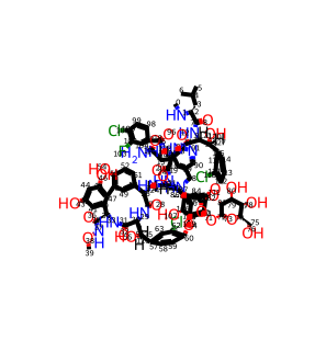 CN[C@H](CC(C)C)C(=O)N[C@H]1C(=O)N[C@@H](CC(N)=O)C(=O)N[C@H]2C(=O)N[C@H]3C(=O)N[C@H](C(=O)N[C@@H](C(=O)NOC)c4cc(O)cc(O)c4-c4cc3ccc4O)[C@H](O)c3ccc(c(Cl)c3)Oc3cc2cc(c3O[C@@H]2O[C@H](CO)[C@@H](O)[C@H](O)[C@H]2O[C@H]2C[C@](C)(NCc3cncc(NC(=O)c4ccc(Cl)c(F)c4)c3)[C@H](O)[C@H](C)O2)Oc2ccc(cc2Cl)[C@H]1O